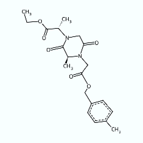 CCOC(=O)[C@H](C)N1CC(=O)N(CC(=O)OCc2ccc(C)cc2)[C@@H](C)C1=O